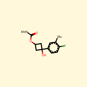 CNC(=O)OC1CC(O)(c2ccc(F)c(C(C)(C)C)c2)C1